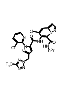 CCCNC(=O)c1c(NC(=O)c2cc(Cn3nnc(C(F)(F)F)n3)nn2-c2ncccc2Cl)c(Cl)cc2ccnn12